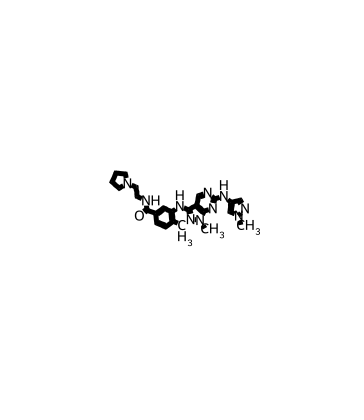 Cc1ccc(C(=O)NCCN2CCCC2)cc1Nc1nn(C)c2nc(Nc3cnn(C)c3)ncc12